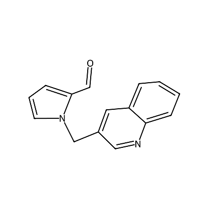 O=Cc1cccn1Cc1cnc2ccccc2c1